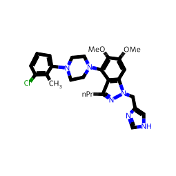 CCCc1nn(Cc2c[nH]cn2)c2cc(OC)c(OC)c(N3CCN(c4cccc(Cl)c4C)CC3)c12